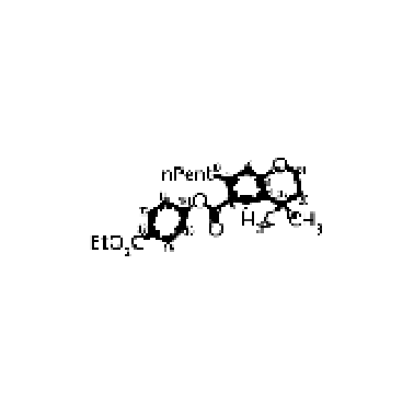 CCCCCc1cc2c(cc1C(=O)Oc1ccc(C(=O)OCC)cc1)C(C)(C)CCO2